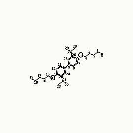 CCCCCOc1ccc(-c2ccc(OCCCCC)c(C(C)C)c2)cc1C(C)C